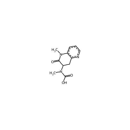 CN1C(=O)C(N(C)C(=O)O)Cc2ncccc21